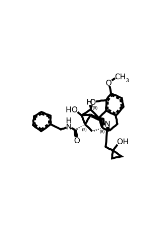 COc1ccc2c3c1O[C@H]1C4(O)C5=C[C@@]6(C[C@]54C(=O)NCc4ccccc4)C(C2)N(CC2(O)CC2)CCC316